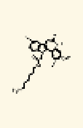 COc1cc2c(cc1OC)-c1c(c3cc(Br)ccc3n1CC(=O)NCCCCCCN)CC(=O)N2